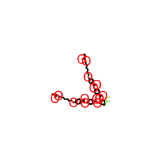 C=CC(=O)OCCCCCCOc1ccc(C(=O)Oc2ccc(C(=O)Oc3ccc(F)cc3OC(=O)c3ccc(OC(=O)c4ccc(OCCCCCCOC(=O)C=C)cc4)cc3)cc2)cc1